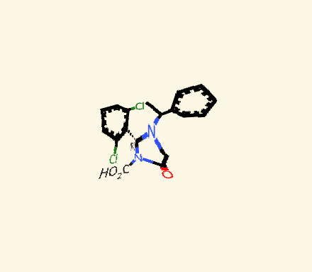 CC(c1ccccc1)N1CC(=O)N(C(=O)O)[C@@H]1c1c(Cl)cccc1Cl